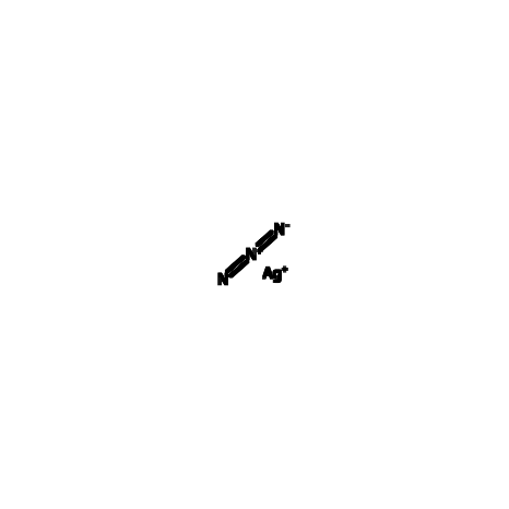 [Ag+].[N-]=[N+]=[N-]